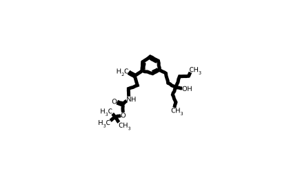 C=C(CCNC(=O)OC(C)(C)C)c1cccc(CCC(O)(CCC)CCC)c1